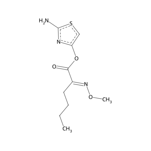 CCCCC(=NOC)C(=O)Oc1csc(N)n1